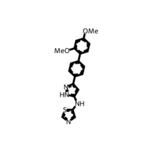 COc1ccc(-c2ccc(-c3cc(Nc4cncs4)[nH]n3)cc2)c(OC)c1